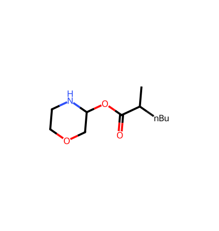 CCCCC(C)C(=O)OC1COCCN1